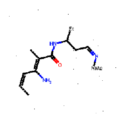 C/C=C\C(N)=C(/C)C(=O)NC(CC)C/C=N\NC